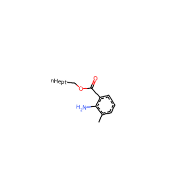 CCCCCCCCOC(=O)c1cccc(C)c1N